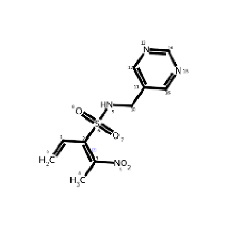 C=C/C(=C(\C)[N+](=O)[O-])S(=O)(=O)NCc1cncnc1